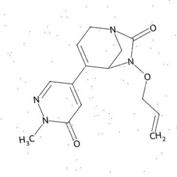 C=CCON1C(=O)N2CC=C(c3cnn(C)c(=O)c3)C1C2